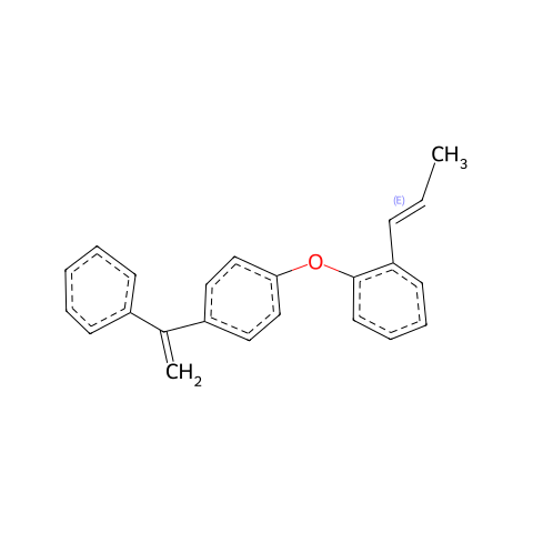 C=C(c1ccccc1)c1ccc(Oc2ccccc2/C=C/C)cc1